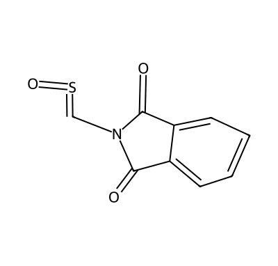 O=S=CN1C(=O)c2ccccc2C1=O